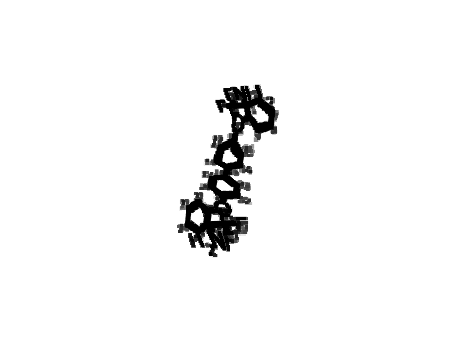 NC1(C(F)(F)F)C=CC=CC1Oc1ccc(-c2ccc(OC3C=CC=CC3(N)C(F)(F)F)cc2)cc1